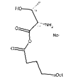 CCCCCCCCCCCC(=O)OC(=O)[C@@H](N)[C@@H](C)O.[Na]